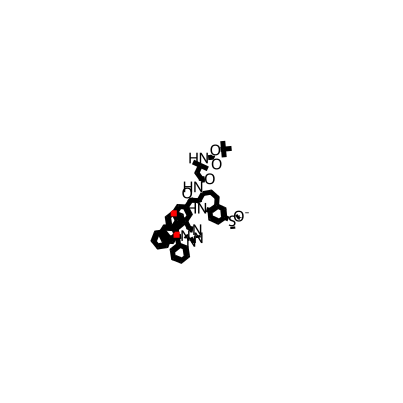 C[S+]([O-])c1ccc2c(c1)CCC(NC(=O)CC(C)(C)NC(=O)OC(C)(C)C)C(C(=O)c1ccc(-c3ccccc3)c(-c3nnnn3C(c3ccccc3)(c3ccccc3)c3ccccc3)c1)N2